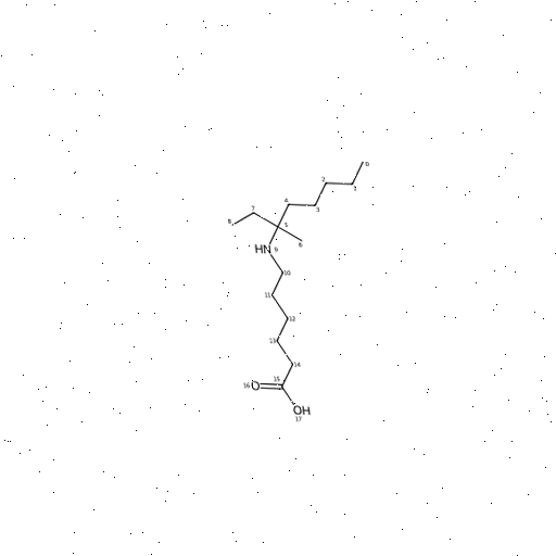 CCCCCC(C)(CC)NCCCCCC(=O)O